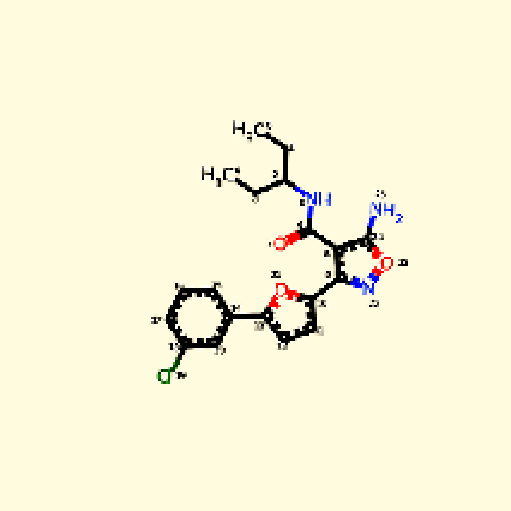 CCC(CC)NC(=O)c1c(-c2ccc(-c3cccc(Cl)c3)o2)noc1N